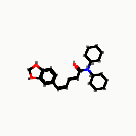 O=C(/C=C/C=C\c1ccc2c(c1)OCO2)N(C1CCCCC1)C1CCCCC1